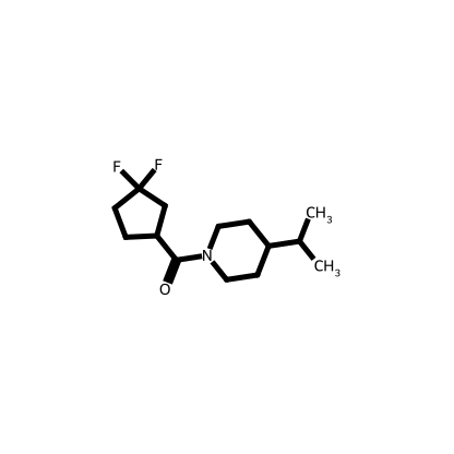 CC(C)C1CCN(C(=O)C2CCC(F)(F)C2)CC1